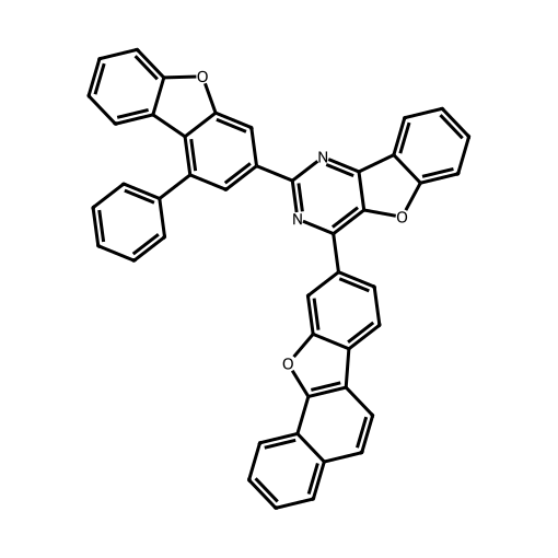 c1ccc(-c2cc(-c3nc(-c4ccc5c(c4)oc4c6ccccc6ccc54)c4oc5ccccc5c4n3)cc3oc4ccccc4c23)cc1